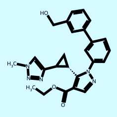 CCOC(=O)c1cnn(-c2cccc(-c3cccc(CO)c3)c2)c1[C@H]1CC1c1cn(C)nn1